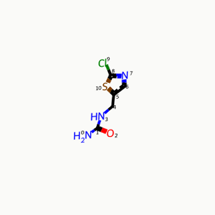 NC(=O)NCc1cnc(Cl)s1